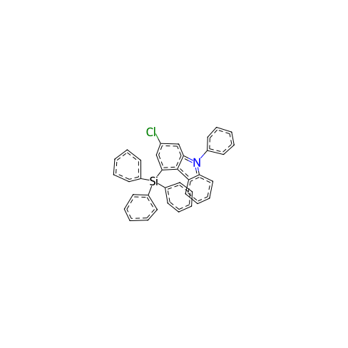 Clc1cc([Si](c2ccccc2)(c2ccccc2)c2ccccc2)c2c3ccccc3n(-c3ccccc3)c2c1